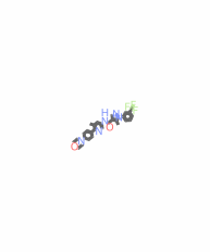 Cc1cc(NC(=O)c2cnn(-c3cccc(C(F)(F)F)c3)c2C)cnc1C1=CCC(N2CCOCC2)CC1